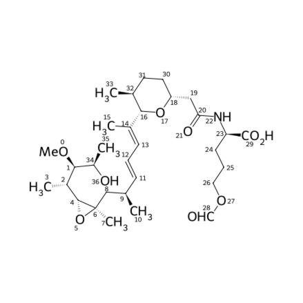 CO[C@H]([C@@H](C)[C@H]1O[C@]1(C)C[C@H](C)/C=C/C=C(\C)[C@H]1O[C@@H](CC(=O)N[C@H](CCCOC=O)C(=O)O)CC[C@@H]1C)[C@@H](C)O